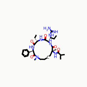 CCC(NC(=N)N)[C@@H]1NC(=O)[C@](C)(NC(=O)C(C)C)CCCCN(C)C(=O)[C@@H](c2ccccc2)NC(=O)[C@H](CC)NC1=O